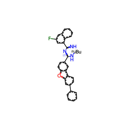 CC[C@H](C)N/C(=N\C(=N)c1cc(F)cc2ccccc12)c1ccc2oc3cc(-c4ccccc4)ccc3c2c1